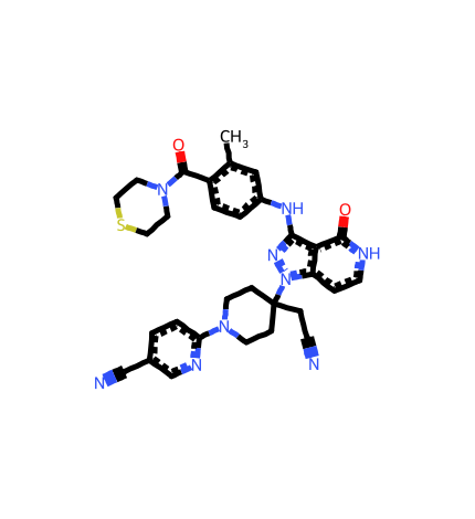 Cc1cc(Nc2nn(C3(CC#N)CCN(c4ccc(C#N)cn4)CC3)c3cc[nH]c(=O)c23)ccc1C(=O)N1CCSCC1